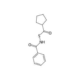 O=C(NSC(=O)C1CCCC1)c1ccccc1